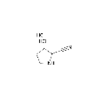 Cl.Cl.N#CC1CCCN1